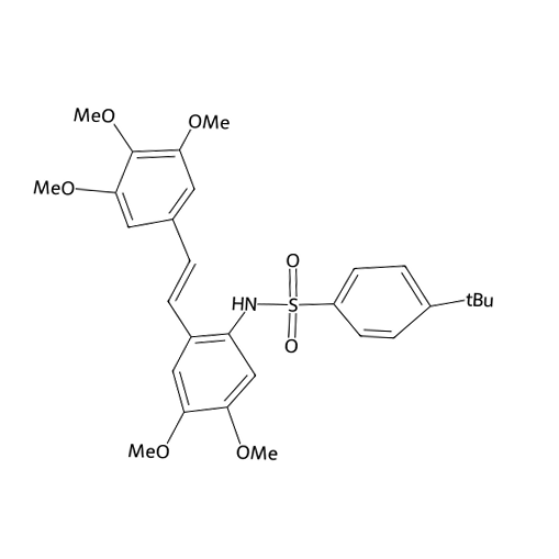 COc1cc(C=Cc2cc(OC)c(OC)c(OC)c2)c(NS(=O)(=O)c2ccc(C(C)(C)C)cc2)cc1OC